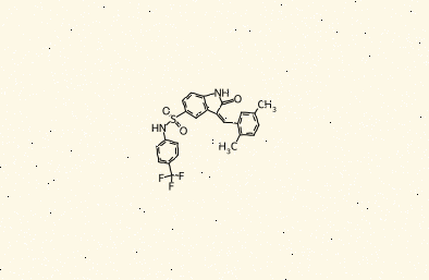 Cc1ccc(C)c(C=C2C(=O)Nc3ccc(S(=O)(=O)Nc4ccc(C(F)(F)F)cc4)cc32)c1